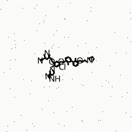 Cc1c(COc2cc(OCc3cncc(C#N)c3)c(CN3CCc4[nH]cnc4C3)cc2Cl)cccc1-c1cccc(OCCCN2CCCC2)c1C